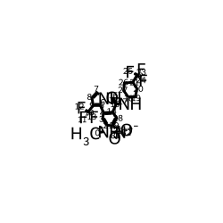 CNc1cc(-c2[nH]ccc2C(F)(F)F)c(C(=O)NC2CCC(C(F)(F)F)CC2)cc1[N+](=O)[O-]